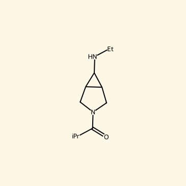 CCNC1C2CN(C(=O)C(C)C)CC21